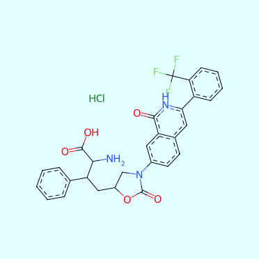 Cl.NC(C(=O)O)C(CC1CN(c2ccc3cc(-c4ccccc4C(F)(F)F)[nH]c(=O)c3c2)C(=O)O1)c1ccccc1